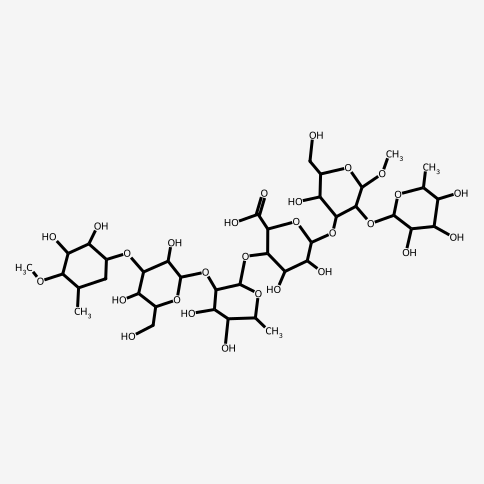 COC1OC(CO)C(O)C(OC2OC(C(=O)O)C(OC3OC(C)C(O)C(O)C3OC3OC(CO)C(O)C(OC4CC(C)C(OC)C(O)C4O)C3O)C(O)C2O)C1OC1OC(C)C(O)C(O)C1O